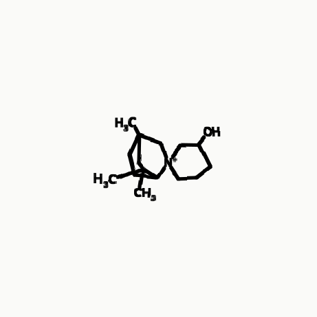 CC12CCC(C(C)(C)C1)[N+]1(CCCC(O)C1)C2